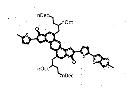 CCCCCCCCCCCCC(CCCCCCCC)Cc1cc2c(=O)c(-c3ccc(C)s3)cc2c2cc3c(CC(CCCCCCCC)CCCCCCCCCCCC)cc4c(=O)c(-c5ccc(-c6cc7sc(C)cc7s6)s5)cc4c3cc12